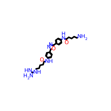 N=C(N)NCCCCC(=O)Nc1ccc(-c2nnc(-c3ccc(NC(=O)CCCCN)cc3)o2)cc1